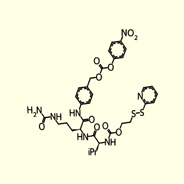 CC(C)[C@H](NC(=O)OCCSSc1ccccn1)C(=O)N[C@@H](CCCNC(N)=O)C(=O)Nc1ccc(COC(=O)Oc2ccc([N+](=O)[O-])cc2)cc1